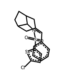 O=S(=O)(NC1C2CCC1CC(=Cc1ccccc1)C2)c1ccc(Cl)s1